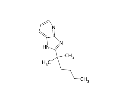 CCCCC(C)(C)c1nc2ncccc2[nH]1